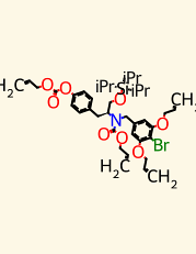 C=CCOC(=O)Oc1ccc(C[C@@H](CO[Si](C(C)C)(C(C)C)C(C)C)N(Cc2cc(OCC=C)c(Br)c(OCC=C)c2)C(=O)OCC=C)cc1